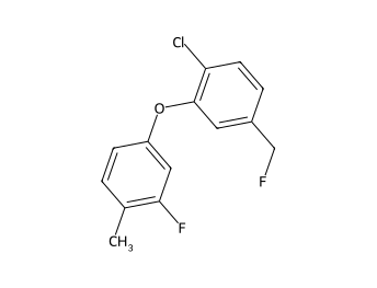 Cc1ccc(Oc2cc(CF)ccc2Cl)cc1F